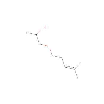 CCC(O)COC[CH]C=C(C)C